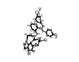 COc1ccc(CN(Cc2ccc(OC)cc2)c2ncccc2Cn2ccn3ncc4c(Br)c(F)c5nc(Cl)nc2c5c43)cc1